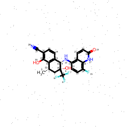 C[C@H]1C[C@](O)(C(F)(F)F)[C@@H](Nc2ccc(F)c3[nH]c(=O)ccc23)c2ccc(C#N)c(O)c21